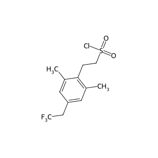 Cc1cc(CC(F)(F)F)cc(C)c1CCS(=O)(=O)Cl